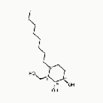 CCCCCCCCN1CC[C@@H](O)[C@H](O)[C@H]1CO